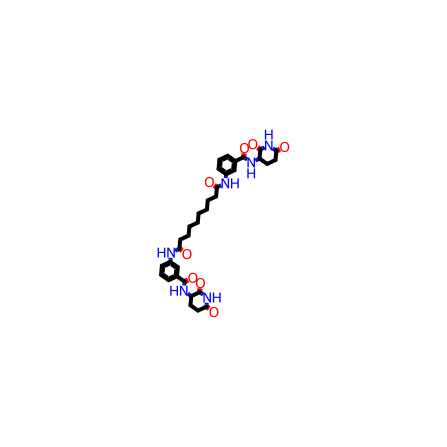 O=C1CCC(NC(=O)c2cccc(NC(=O)CCCCCCCCC(=O)Nc3cccc(C(=O)NC4CCC(=O)NC4=O)c3)c2)C(=O)N1